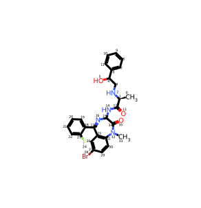 C[C@H](NCC(O)c1ccccc1)C(=O)NC1N=C(c2ccccc2F)c2cc(Br)ccc2N(C)C1=O